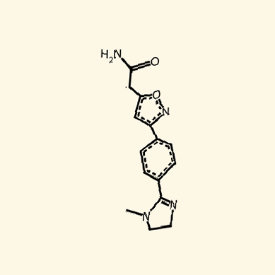 CN1CCN=C1c1ccc(-c2cc([CH]C(N)=O)on2)cc1